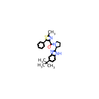 Cc1nc(C(=O)N2CCCC2c2nc3cc(C(C)(C)C)ccc3[nH]2)c(-c2ccccc2)s1